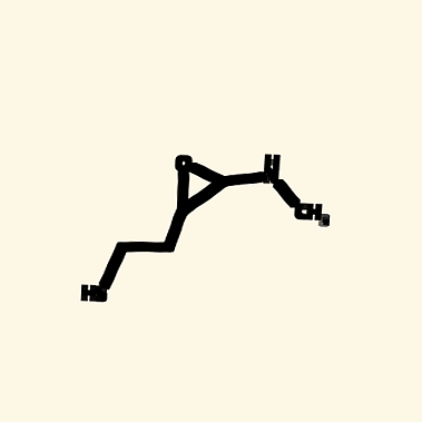 CNC1OC1CCS